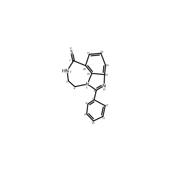 S=C1NCCn2c(-c3ccccc3)nc3cccc1c32